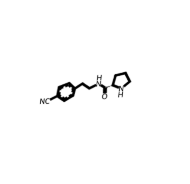 N#Cc1ccc(CCNC(=O)[C@@H]2CCCN2)cc1